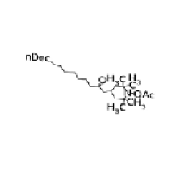 CCCCCCCCCCCCCCCCCC(=O)CC1CC(C)(C)N(OC(C)=O)C(C)(C)C1